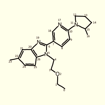 CCOCCn1c(-c2ccc(N3CCCC3C)nc2)nc2cc(C)ccc21